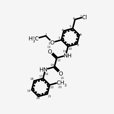 CCOc1cc(CCl)ccc1NC(=O)C(=O)Nc1ccccc1C